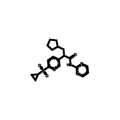 O=C(Nc1ncccn1)C(CC1CCCC1)c1ccc(S(=O)(=O)C2CC2)nc1